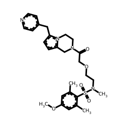 COc1cc(C)c(S(=O)(=O)N(C)CCOCC(=O)N2CCn3c(Cc4ccncc4)ccc3C2)c(C)c1